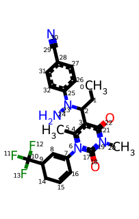 CCC(c1c(C)n(C2=CC(C(F)(F)F)CC=C2)c(=O)n(C)c1=O)N(N)c1ccc(C#N)cc1